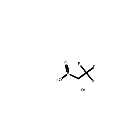 O=S(O)CC(F)(F)F.[Zn]